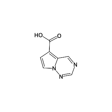 O=C(O)c1ccn2ncncc12